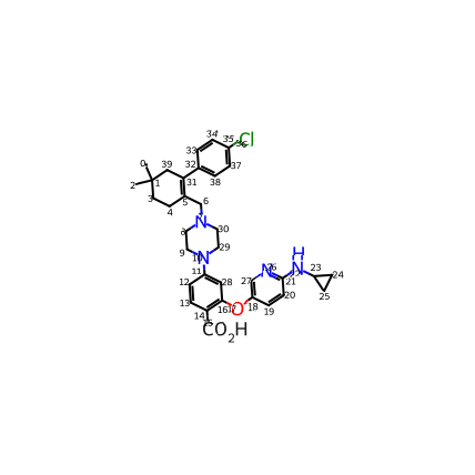 CC1(C)CCC(CN2CCN(c3ccc(C(=O)O)c(Oc4ccc(NC5CC5)nc4)c3)CC2)=C(c2ccc(Cl)cc2)C1